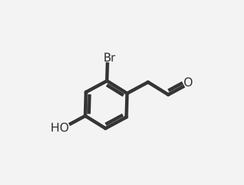 O=CCc1ccc(O)cc1Br